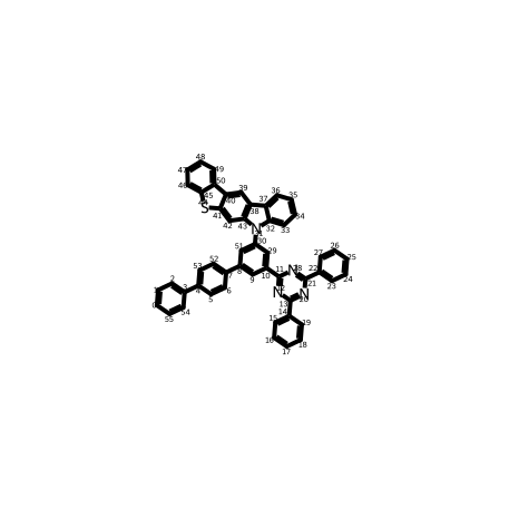 c1ccc(-c2ccc(-c3cc(-c4nc(-c5ccccc5)nc(-c5ccccc5)n4)cc(-n4c5ccccc5c5cc6c(cc54)sc4ccccc46)c3)cc2)cc1